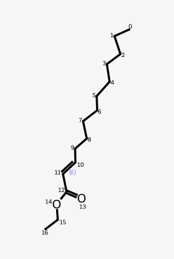 CCCCCCCCCC/C=C/C(=O)OCC